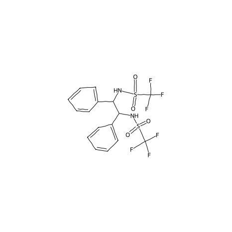 O=S(=O)(NC(c1ccccc1)C(NS(=O)(=O)C(F)(F)F)c1ccccc1)C(F)(F)F